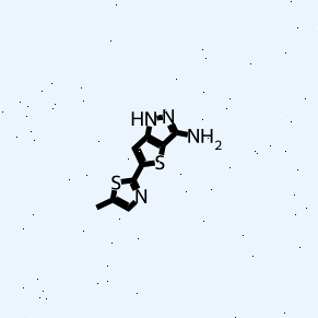 Cc1cnc(-c2cc3[nH]nc(N)c3s2)s1